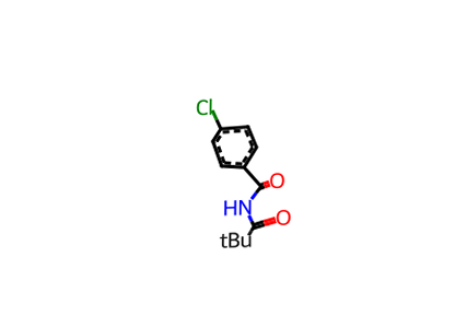 CC(C)(C)C(=O)NC(=O)c1ccc(Cl)cc1